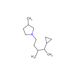 CC1CCN(CCC(C)C(C)C2CC2)C1